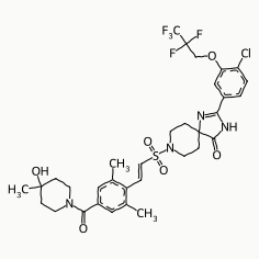 Cc1cc(C(=O)N2CCC(C)(O)CC2)cc(C)c1C=CS(=O)(=O)N1CCC2(CC1)N=C(c1ccc(Cl)c(OCC(F)(F)C(F)(F)F)c1)NC2=O